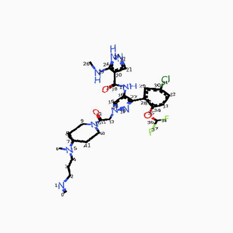 C=NCCCN(C)C1CCN(C(=O)Cn2cc(NC(=O)c3cn[nH]c3NC)c(-c3cc(Cl)ccc3OC(F)F)n2)CC1